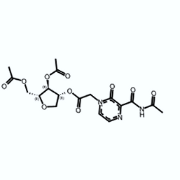 CC(=O)NC(=O)c1nccn(CC(=O)O[C@@H]2CO[C@H](COC(C)=O)[C@H]2OC(C)=O)c1=O